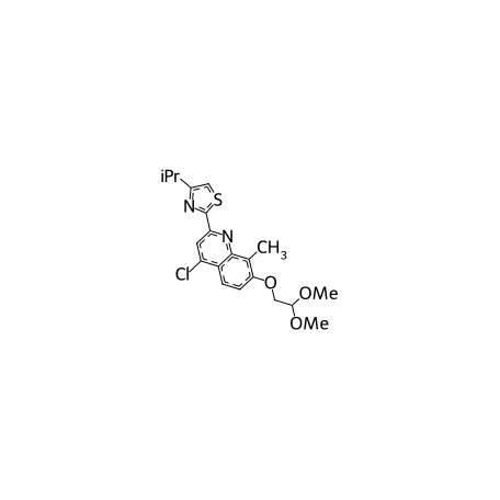 COC(COc1ccc2c(Cl)cc(-c3nc(C(C)C)cs3)nc2c1C)OC